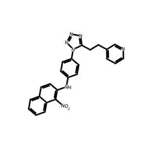 O=[N+]([O-])c1c(Nc2ccc(-n3nnnc3CCc3cccnc3)cc2)ccc2ccccc12